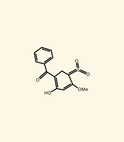 COC1=CC(O)=C(C(=O)c2ccccc2)CC1=S(=O)=O